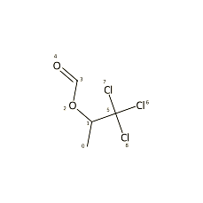 CC(OC=O)C(Cl)(Cl)Cl